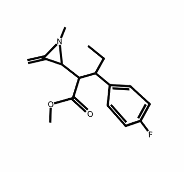 C=C1C(C(C(=O)OC)C(CC)c2ccc(F)cc2)N1C